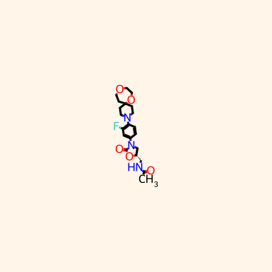 CC(=O)NC[C@H]1CN(c2ccc(N3CCC4(CCOCCO4)CC3)c(F)c2)C(=O)O1